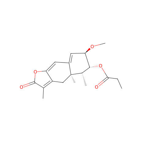 CCC(=O)O[C@H]1[C@H](OC)C=C2C=C3OC(=O)C(C)=C3C[C@]2(C)[C@H]1C